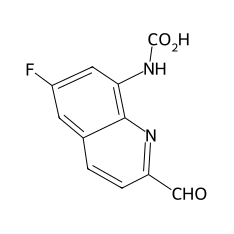 O=Cc1ccc2cc(F)cc(NC(=O)O)c2n1